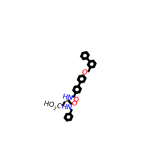 O=C(O)CC[C@H](NC(=O)c1ccc(-c2ccc(OCc3cccc(-c4ccccc4)c3)cc2)cc1)C(=O)NCc1ccccc1